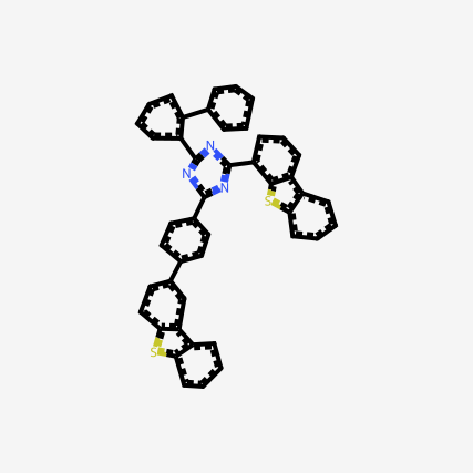 c1ccc(-c2ccccc2-c2nc(-c3ccc(-c4ccc5sc6ccccc6c5c4)cc3)nc(-c3cccc4c3sc3ccccc34)n2)cc1